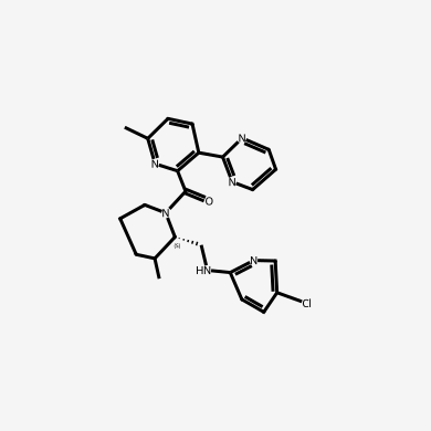 Cc1ccc(-c2ncccn2)c(C(=O)N2CCCC(C)[C@H]2CNc2ccc(Cl)cn2)n1